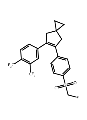 O=S(=O)(CF)c1ccc(C2=C(c3ccc(C(F)(F)F)c(C(F)(F)F)c3)CC3(CC3)C2)cc1